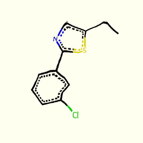 CCc1[c]nc(-c2cccc(Cl)c2)s1